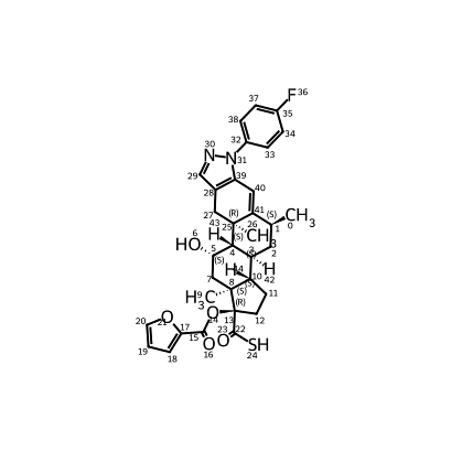 C[C@H]1C[C@@H]2[C@H]([C@@H](O)C[C@@]3(C)[C@H]2CC[C@]3(OC(=O)c2ccco2)C(=O)S)[C@@]2(C)Cc3cnn(-c4ccc(F)cc4)c3C=C12